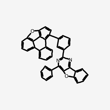 c1ccc(-c2nc(-c3cccc(-c4ccc5oc6cccc7c8ccccc8c4c5c67)c3)nc3c2oc2ccccc23)cc1